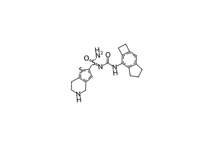 NS(=O)(=NC(=O)Nc1c2c(cc3c1CC3)CCC2)c1cc2c(s1)CCNC2